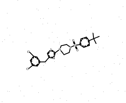 CC(C)(C)c1ccc(S(=O)(=O)N2CCN(c3nc(Cc4cc(Cl)cc(Cl)c4)cs3)CC2)cc1